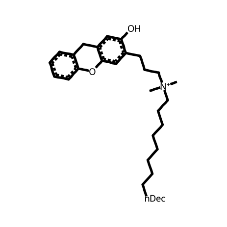 CCCCCCCCCCCCCCCCCC[N+](C)(C)CCCc1cc2c(cc1O)Cc1ccccc1O2